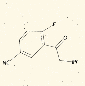 CC(C)CC(=O)c1cc(C#N)ccc1F